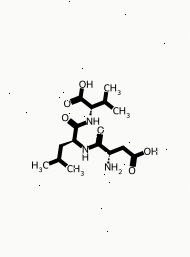 CC(C)C[C@H](NC(=O)[C@@H](N)CC(=O)O)C(=O)N[C@H](C(=O)O)C(C)C